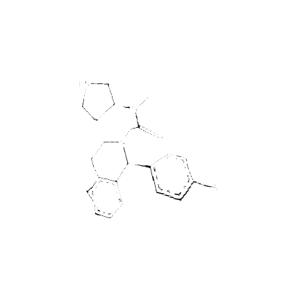 CN(C(=O)N1CCc2ccccc2[C@@H]1c1ccc(F)cc1)[C@H]1CCNC1